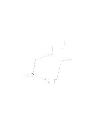 CC1CNC(=O)CC1C(=O)O